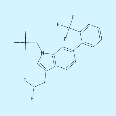 CC(C)(C)Cn1cc(CC(F)F)c2ccc(-c3ccccc3C(F)(F)F)cc21